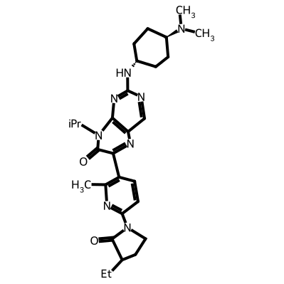 CCC1CCN(c2ccc(-c3nc4cnc(N[C@H]5CC[C@H](N(C)C)CC5)nc4n(C(C)C)c3=O)c(C)n2)C1=O